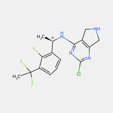 C[C@@H](Nc1nc(Cl)nc2c1CNC2)c1cccc(C(C)(F)F)c1F